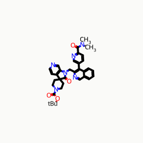 CN(C)C(=O)c1ccc(-c2c(CN3C(=O)C4(CCN(C(=O)OC(C)(C)C)CC4)c4ccncc43)ncc3ccccc23)cn1